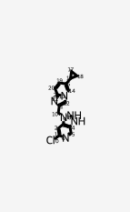 Clc1cc2c(cn1)NNN2Cc1cn2cc(C3CC3)ccc2n1